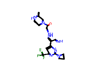 CC1CN(C(=O)CN/C=C(\C=N)c2cc(C(F)(F)F)nc(N3CCC3)n2)CCN1